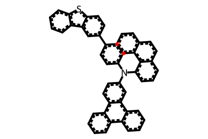 c1ccc2c(c1)ccc1cccc(N(c3ccc(-c4ccc5sc6ccccc6c5c4)cc3)c3ccc4c5ccccc5c5ccccc5c4c3)c12